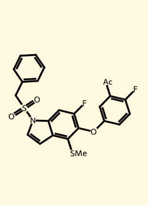 CSc1c(Oc2ccc(F)c(C(C)=O)c2)c(F)cc2c1ccn2S(=O)(=O)Cc1ccccc1